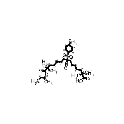 [C-]#[N+]C(CCCCCC(C)(C)C(=O)O)(CCCCCC(C)(C)C(=O)OC(C)CC)S(=O)(=O)c1ccc(C)cc1